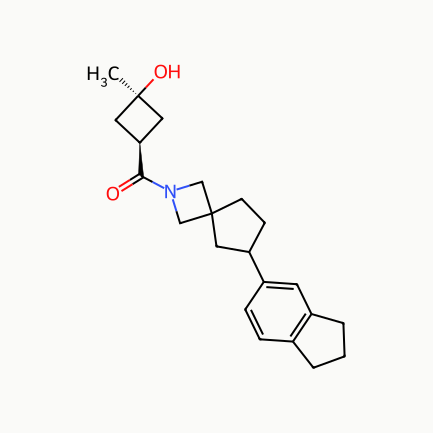 C[C@]1(O)C[C@@H](C(=O)N2CC3(CCC(c4ccc5c(c4)CCC5)C3)C2)C1